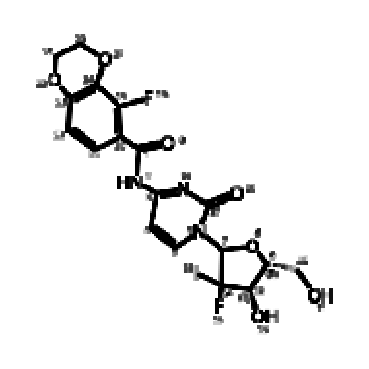 O=C(Nc1ccn(C2O[C@H](CO)[C@@H](O)C2(F)I)c(=O)n1)c1ccc2c(c1F)OCCO2